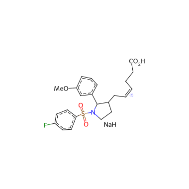 COc1cccc(C2C(C/C=C\CCC(=O)O)CCN2S(=O)(=O)c2ccc(F)cc2)c1.[NaH]